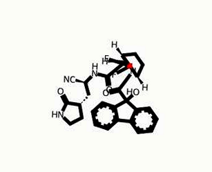 N#C[C@H](C[C@@H]1CCNC1=O)NC(=O)[C@@H]1[C@@H]2CC[C@@H](CC2(F)F)N1C(=O)C1(O)c2ccccc2-c2ccccc21